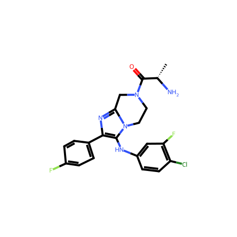 C[C@H](N)C(=O)N1CCn2c(nc(-c3ccc(F)cc3)c2Nc2ccc(Cl)c(F)c2)C1